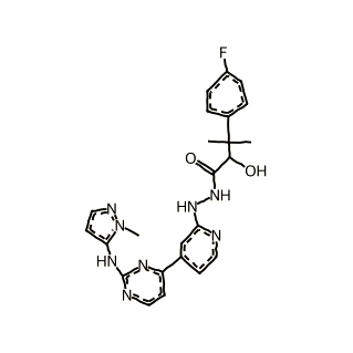 Cn1nccc1Nc1nccc(-c2ccnc(NNC(=O)C(O)C(C)(C)c3ccc(F)cc3)c2)n1